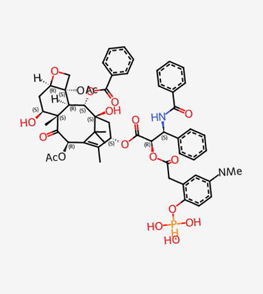 CNc1ccc(O[PH](O)(O)O)c(CC(=O)O[C@@H](C(=O)O[C@H]2C[C@@]3(O)[C@@H](OC(=O)c4ccccc4)[C@@H]4[C@]5(OC(C)=O)CO[C@@H]5C[C@H](O)[C@@]4(C)C(=O)[C@H](OC(C)=O)C(=C2C)C3(C)C)[C@@H](NC(=O)c2ccccc2)c2ccccc2)c1